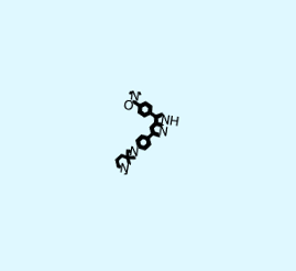 CN1CCCC2(C1)CN(c1ccc(-c3cnc4[nH]cc(-c5ccc(C(=O)N(C)C)cc5)c4c3)cc1)C2